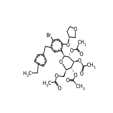 CCc1ccc(Cc2cc([C@@H]3O[C@H](COC(C)=O)[C@@H](OC(C)=O)[C@H](OC(C)=O)[C@H]3OC(C)=O)c(O[C@H]3CCOC3)cc2Br)cc1